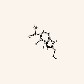 CCCc1nc2ccc(C(=O)O)c(C)c2[nH]1